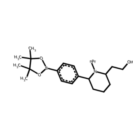 CCCN1C(CCO)CCCC1c1ccc(B2OC(C)(C)C(C)(C)O2)cc1